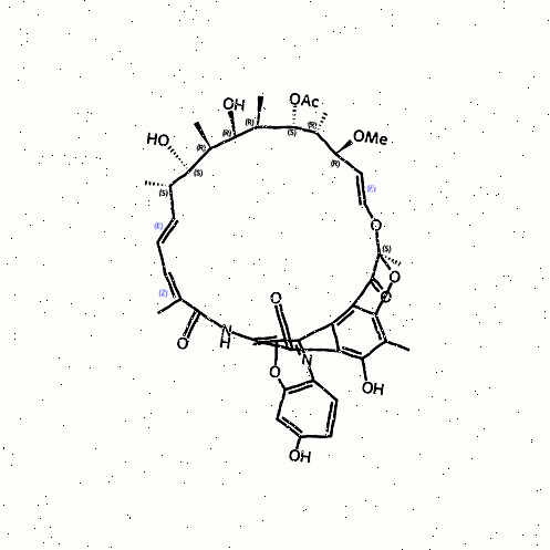 CO[C@H]1/C=C/O[C@@]2(C)Oc3c(C)c(O)c4c(=O)c(c5oc6cc(O)ccc6nc-5c4c3C2=O)NC(=O)/C(C)=C\C=C\[C@H](C)[C@H](O)[C@@H](C)[C@@H](O)[C@@H](C)[C@H](OC(C)=O)[C@@H]1C